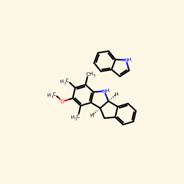 COc1c(C)c(C)c2c(c1C)[C@@H]1Cc3ccccc3[C@@H]1N2.c1ccc2[nH]ccc2c1